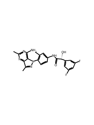 Cc1nc(N)c2c(n1)c(C)nn2-c1ccc(NC(=O)[C@H](O)c2cc(F)cc(F)c2)cc1C